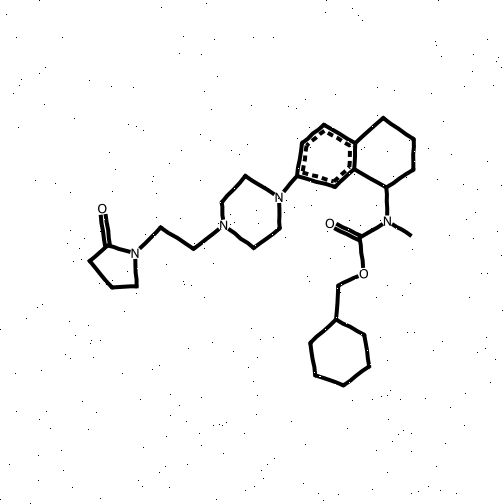 CN(C(=O)OCC1CCCCC1)C1CCCc2ccc(N3CCN(CCN4CCCC4=O)CC3)cc21